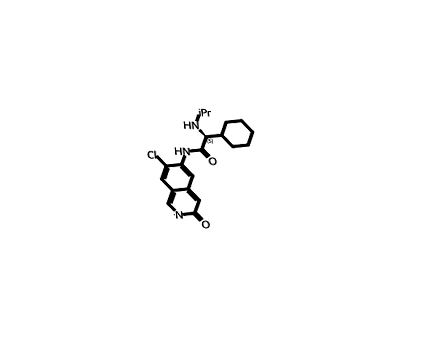 CC(C)N[C@H](C(=O)Nc1cc2c(cc1Cl)=C[N]C(=O)C=2)C1CCCCC1